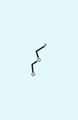 [O]COCF